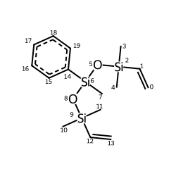 C=C[Si](C)(C)O[Si](C)(O[Si](C)(C)C=C)c1ccccc1